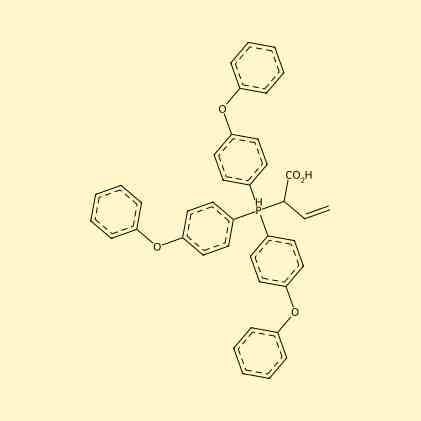 C=CC(C(=O)O)[PH](c1ccc(Oc2ccccc2)cc1)(c1ccc(Oc2ccccc2)cc1)c1ccc(Oc2ccccc2)cc1